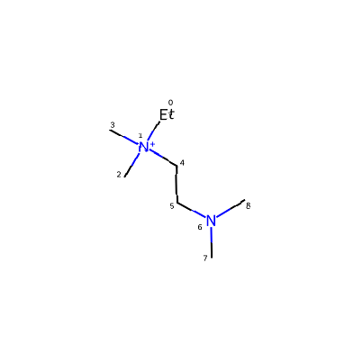 CC[N+](C)(C)CCN(C)C